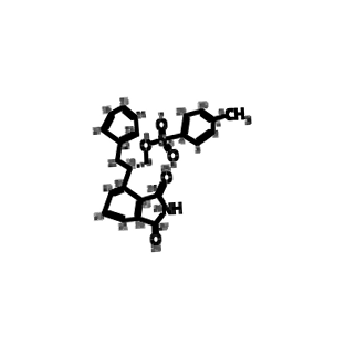 Cc1ccc(S(=O)(=O)OC[C@@H](Cc2ccccc2)c2cccc3c2C(=O)NC3=O)cc1